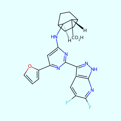 O=C(O)[C@H]1C2CCC(CC2)[C@@H]1Nc1cc(-c2ccco2)nc(-c2n[nH]c3nc(F)c(F)cc23)n1